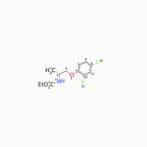 CCOC(=O)N[C@H](C)COc1ccc(F)cc1F